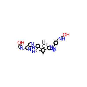 Cc1c(Nc2nccc3cc(CN4CC[C@@H](O)C4)cnc23)cccc1-c1cccc(-c2ccn3c(-c4ccc(CNCCO)cc4)nnc3c2)c1C